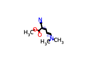 COC(=O)/C(C#N)=C\C=C\N(C)C